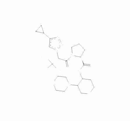 CC(C)(C)[C@@H](C(=O)N1C[C@H](O)C[C@H]1C(=O)NC1CCOCC1N1CCOCC1)n1cc(C2CC2)nn1